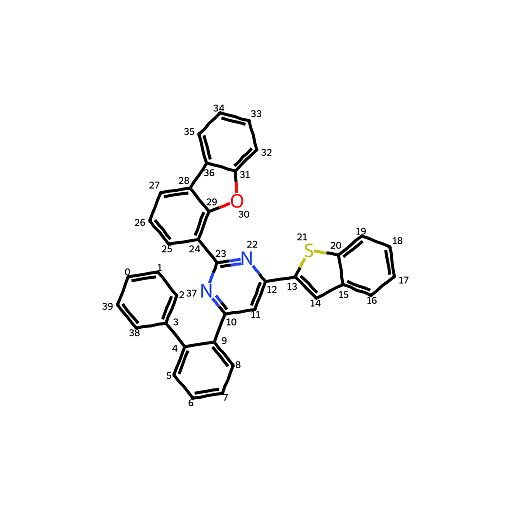 c1ccc(-c2ccccc2-c2cc(-c3cc4ccccc4s3)nc(-c3cccc4c3oc3ccccc34)n2)cc1